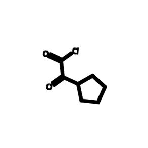 O=C(Cl)C(=O)C1CCCC1